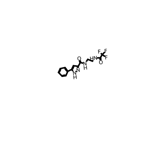 O=C(NCCNC(=O)C(F)(F)F)c1cc(-c2ccccc2)[nH]n1